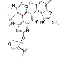 C[C@H](c1cccnc1N)N(C)c1nc(O[C@@H]2COC[C@@H]2N(C)C)nc2c(F)c(-c3c(F)cc(F)c4sc(N)c(C#N)c34)c(Cl)cc12